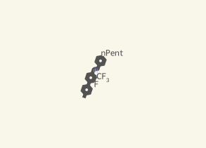 CCCCCc1ccc(/C=C/c2ccc(-c3ccc(C)cc3)c(F)c2C(F)(F)F)cc1